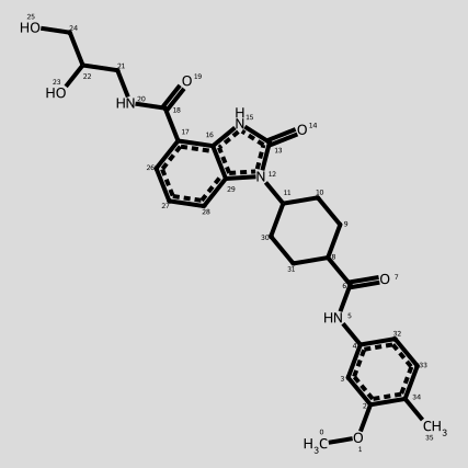 COc1cc(NC(=O)C2CCC(n3c(=O)[nH]c4c(C(=O)NCC(O)CO)cccc43)CC2)ccc1C